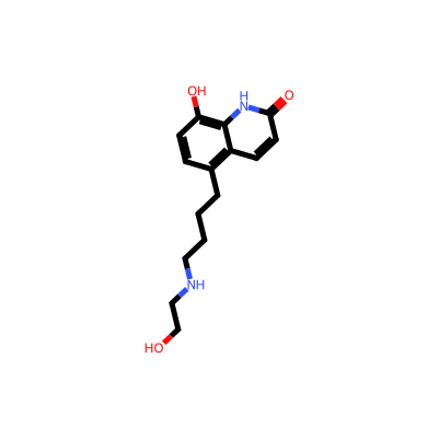 O=c1ccc2c(CCCCNCCO)ccc(O)c2[nH]1